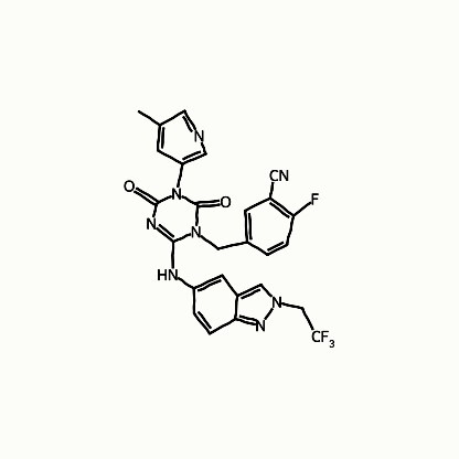 Cc1cncc(-n2c(=O)nc(Nc3ccc4nn(CC(F)(F)F)cc4c3)n(Cc3ccc(F)c(C#N)c3)c2=O)c1